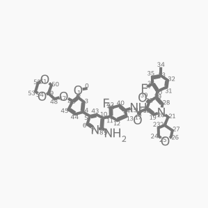 COc1cc(-c2cnc(N)c(-c3ccc(NC(=O)c4cn(CC5CCOCC5)cc(-c5ccc(C)cc5F)c4=O)cc3F)c2)ccc1OCC1COCCO1